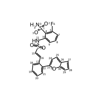 NS(=O)(=O)c1c(F)cccc1NS(=O)(=O)C=Cc1ccccc1-c1ccc2cccc-2o1